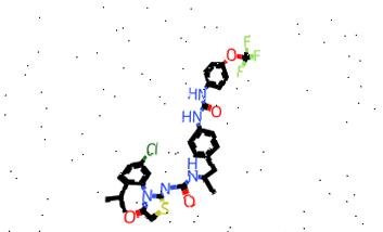 CC(Cc1ccc(NC(=O)Nc2ccc(OC(F)(F)F)cc2)cc1)NC(=O)N=C1SCC(=O)N1c1cc(Cl)ccc1C(C)C